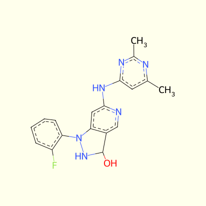 Cc1cc(Nc2cc3c(cn2)C(O)NN3c2ccccc2F)nc(C)n1